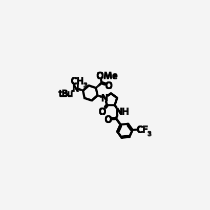 COC(=O)[C@@H]1C[C@H](N(C)C(C)(C)C)CC[C@@H]1N1CCC(NC(=O)c2cccc(C(F)(F)F)c2)C1=O